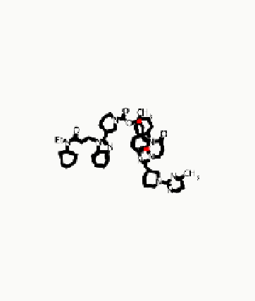 CCN(C(=O)CCn1c(C2CCCN(C(=O)OC(C)Cc3ccc4nc(C5CCCN(c6nccc(C)n6)C5)n(CCC(=O)N(CC)C5CCCCC5)c4c3)C2)nc2ccccc21)C1CCCCC1